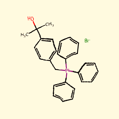 CC(C)(O)c1ccc(C[P+](c2ccccc2)(c2ccccc2)c2ccccc2)cc1.[Br-]